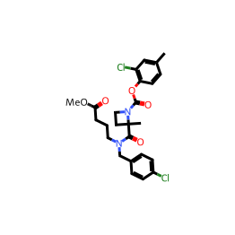 COC(=O)CCCN(Cc1ccc(Cl)cc1)C(=O)C1(C)CCN1C(=O)Oc1ccc(C)cc1Cl